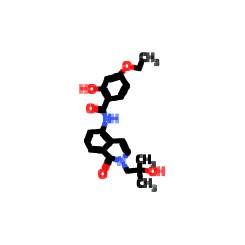 CCOc1ccc(C(=O)Nc2cccc3c(=O)n(CC(C)(C)O)ccc23)c(O)c1